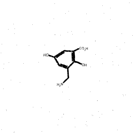 NCc1cc(O)cc(C(=O)O)c1O